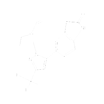 CCOC=O.Cn1nc(C(F)(F)F)cc1-c1ccc2c(c1)CC(=O)N2